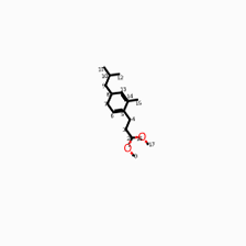 COC(CCC1=CCC(CC(C)C)C=C1C)OC